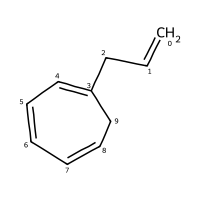 C=CCC1=CC=CC=CC1